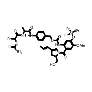 C/C=C/C1=CN(C(=O)c2cc(OC)c(O[Si](C(C)C)(C(C)C)C(C)C)cc2NC(=O)OCc2ccc(NC(=O)C(C)NC(=O)C(OC(N)=O)C(C)C)cc2)C(CO)C1